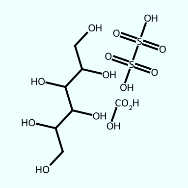 O=C(O)O.O=S(=O)(O)S(=O)(=O)O.OCC(O)C(O)C(O)C(O)CO